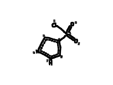 O=S(=O)(Cl)c1cn[nH]c1